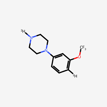 [2H]c1ccc(N2CCN([2H])CC2)cc1OC(F)(F)F